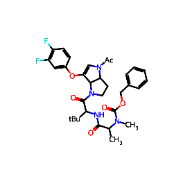 CC(=O)N1C=C(Oc2ccc(F)c(F)c2)C2C1CCN2C(=O)C(NC(=O)C(C)N(C)C(=O)OCc1ccccc1)C(C)(C)C